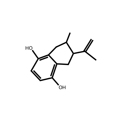 C=C(C)C1Cc2c(O)ccc(O)c2CC1C